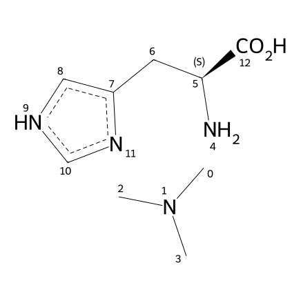 CN(C)C.N[C@@H](Cc1c[nH]cn1)C(=O)O